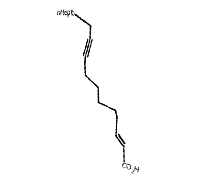 CCCCCCCCC#CCCCCC=CC(=O)O